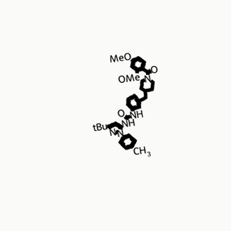 COc1ccc(C(=O)N2CCC(Cc3cccc(NC(=O)Nc4cc(C(C)(C)C)nn4-c4ccc(C)cc4)c3)CC2)c(OC)c1